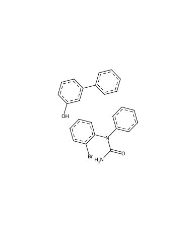 NC(=O)N(c1ccccc1)c1ccccc1Br.Oc1cccc(-c2ccccc2)c1